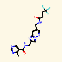 Cc1ncncc1C(=O)NCc1cn2ncc(CNC(=O)CCC(F)(F)F)cc2n1